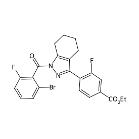 CCOC(=O)c1ccc(-c2nn(C(=O)c3c(F)cccc3Br)c3c2CCCC3)c(F)c1